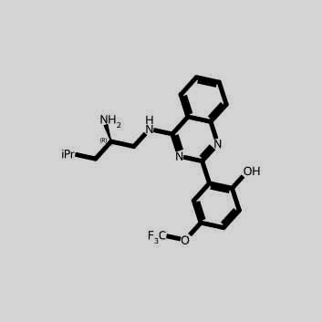 CC(C)C[C@@H](N)CNc1nc(-c2cc(OC(F)(F)F)ccc2O)nc2ccccc12